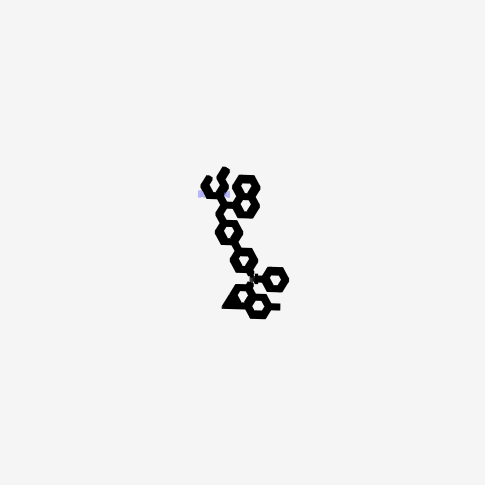 C=C/C=C(\C=C/C)C(CC1C=CC(c2ccc(N(C3=CCCC=C3)C3CC4=C(C4)C4=C3CC(C)C=C4)cc2)=CC1)c1cccc2ccccc12